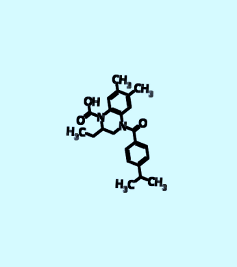 CCC1CN(C(=O)c2ccc(C(C)C)cc2)c2cc(C)c(C)cc2N1C(=O)O